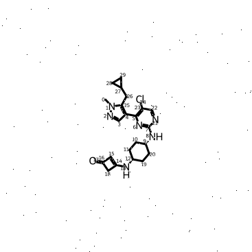 Cn1ncc(-c2nc(N[C@H]3CC[C@H](NC4=CC(=O)C4)CC3)ncc2Cl)c1CC1CC1